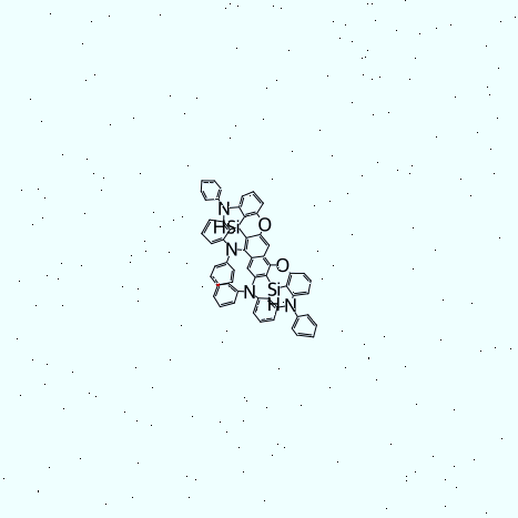 c1ccc(N2c3cccc4c3[SiH]3c5c2cccc5N(c2ccccc2)c2cc5c6c7c(cc5c(c23)O4)Oc2cccc3c2[SiH]7c2c(cccc2N6c2ccccc2)N3c2ccccc2)cc1